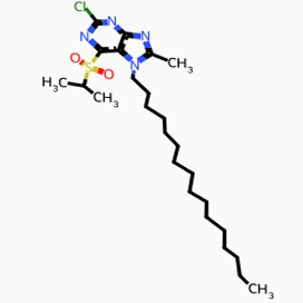 CCCCCCCCCCCCCCCCn1c(C)nc2nc(Cl)nc(S(=O)(=O)C(C)C)c21